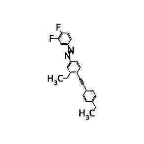 CCc1ccc(C#Cc2ccc(N=Nc3ccc(F)c(F)c3)cc2CC)cc1